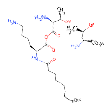 CCCCCCCCCCCCCCCC(=O)N[C@@H](CCCCN)C(=O)OC(=O)[C@@H](N)[C@@H](C)O.C[C@@H](O)[C@H](N)C(=O)O